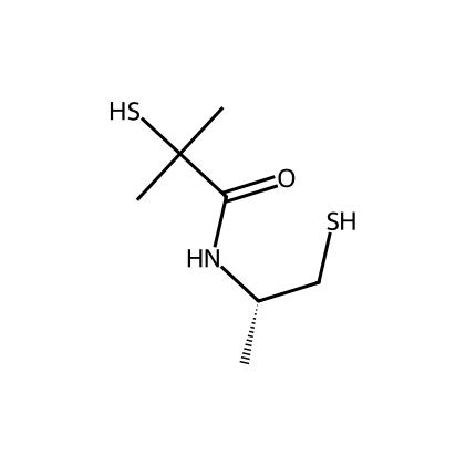 C[C@@H](CS)NC(=O)C(C)(C)S